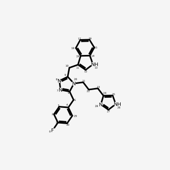 Fc1ccc(Cc2nnc(Cc3c[nH]c4ccccc34)n2CCCc2c[nH]cn2)cc1